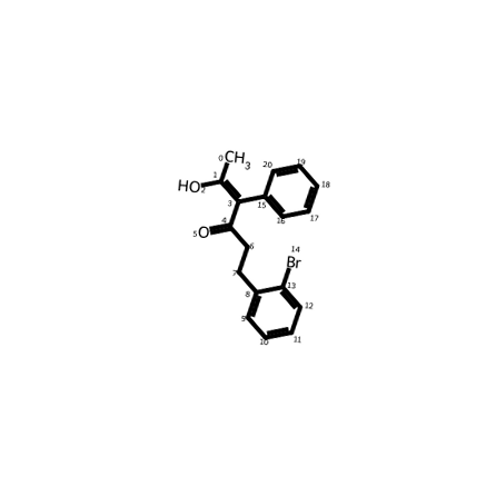 C/C(O)=C(/C(=O)CCc1ccccc1Br)c1ccccc1